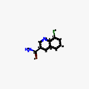 NC(=S)c1cnc2c(F)cccc2c1